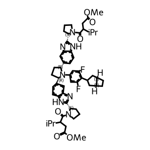 COC(=O)CC(C(=O)N1CCC[C@H]1c1nc2cc([C@H]3CC[C@H](c4ccc5[nH]c([C@@H]6CCCN6C(=O)C(CC(=O)OC)C(C)C)nc5c4)N3c3cc(F)c(C4C[C@H]5CC[C@H]5C4)c(F)c3)ccc2[nH]1)C(C)C